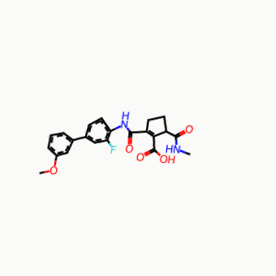 CNC(=O)C1CCC(C(=O)Nc2ccc(-c3cccc(OC)c3)cc2F)=C1C(=O)O